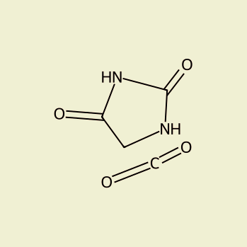 O=C1CNC(=O)N1.O=C=O